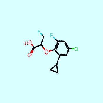 O=C(O)C(CF)Oc1c(F)cc(Cl)cc1C1CC1